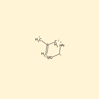 C=C(C)C.CCCCO